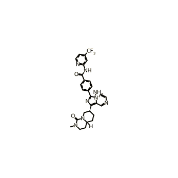 CN1CC[C@H]2CC[C@H](C3=C4C=NC=C[N+]4(N)C(c4ccc(C(=O)Nc5cc(C(F)(F)F)ccn5)cc4)=N3)CN2C1=O